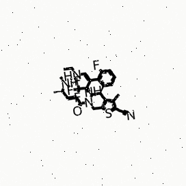 CCN/C=C(\C(=N)C(F)(F)F)c1c(F)cccc1[C@@H]1CN(C(=O)/C=C/[C@@H](C)NC)Cc2sc(C#N)c(C)c21